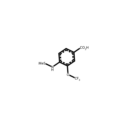 CSNc1ccc(C(=O)O)cc1OC(F)(F)F